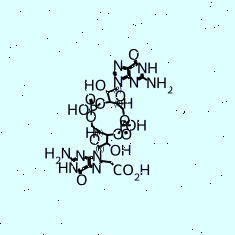 Nc1nc2c(ncn2[C@@H]2O[C@@H]3COP(=O)(O)OC4C(O)[C@H](n5c(CC(=O)O)nc6c(=O)[nH]c(N)nc65)O[C@@H]4COP(=O)(O)OC3C2O)c(=O)[nH]1